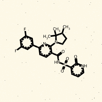 CC1CCN(c2nc(-c3cc(F)cc(F)c3)ccc2C(=O)NS(=O)(=O)c2ccc[nH]c2=O)C1(C)C